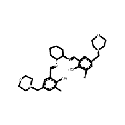 Cc1cc(CN2CCOCC2)cc(/C=N/C2CCCC[C@H]2/N=C/c2cc(CN3CCOCC3)cc(C)c2O)c1O